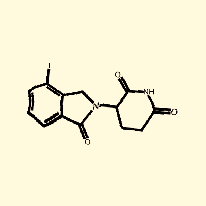 O=C1CCC(N2Cc3c(I)cccc3C2=O)C(=O)N1